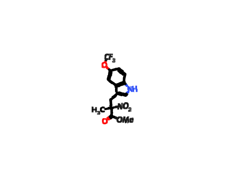 COC(=O)C(C)(Cc1c[nH]c2ccc(OC(F)(F)F)cc12)[N+](=O)[O-]